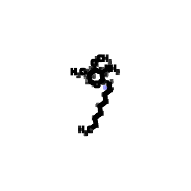 CCCCCCC/C=C\[C@@H]1OC[C@H](C)[C@H](OC)[C@H]1N